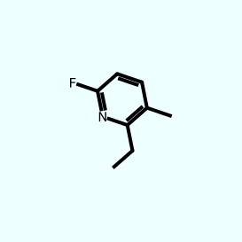 CCc1nc(F)ccc1C